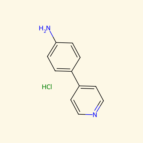 Cl.Nc1ccc(-c2ccncc2)cc1